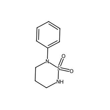 O=S1(=O)NCCCN1c1ccccc1